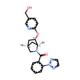 O=C(c1ccccc1-n1nccn1)N1C[C@H]2C[C@@H](Oc3ccc(CO)cn3)[C@@H]1C2